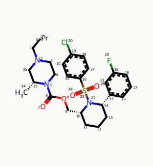 CC(C)CN1CCN(C(=O)OC[C@H]2CCC[C@@H](c3cccc(F)c3)N2S(=O)(=O)c2ccc(Cl)cc2)[C@H](C)C1